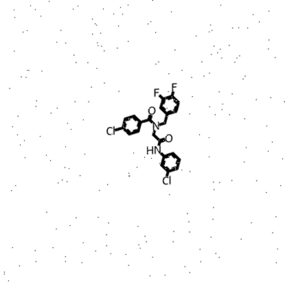 O=C(CN(Cc1ccc(F)c(F)c1)C(=O)c1ccc(Cl)cc1)Nc1cccc(Cl)c1